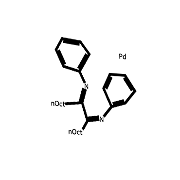 CCCCCCCCC(=Nc1ccccc1)C(CCCCCCCC)=Nc1ccccc1.[Pd]